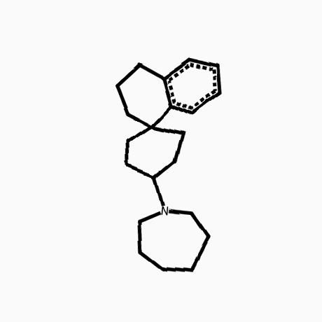 c1ccc2c(c1)CCCC21CCC(N2CCCCCC2)CC1